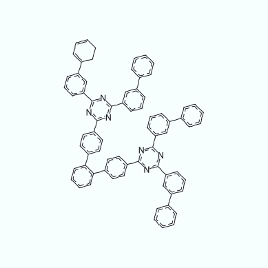 C1=CCCC(c2cccc(-c3nc(-c4ccc(-c5ccccc5-c5ccc(-c6nc(-c7cccc(-c8ccccc8)c7)nc(-c7cccc(-c8ccccc8)c7)n6)cc5)cc4)nc(-c4cccc(-c5ccccc5)c4)n3)c2)=C1